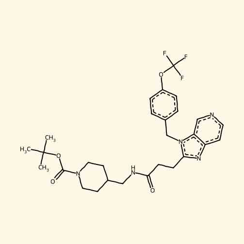 CC(C)(C)OC(=O)N1CCC(CNC(=O)CCc2nc3ccncc3n2Cc2ccc(OC(F)(F)F)cc2)CC1